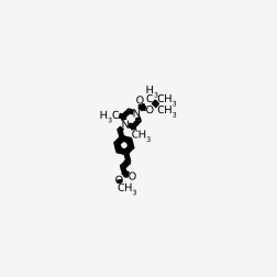 COC(=O)/C=C/c1ccc(CN2C(C)CN(C(=O)OC(C)(C)C)CC2C)cc1